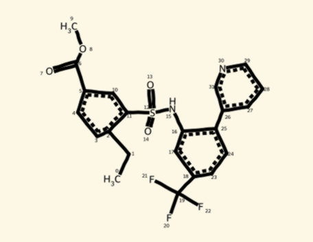 CCc1ccc(C(=O)OC)cc1S(=O)(=O)Nc1cc(C(F)(F)F)ccc1-c1cccnc1